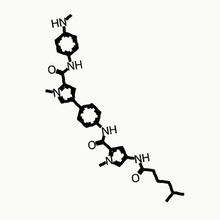 CNc1ccc(NC(=O)c2cc(-c3ccc(NC(=O)c4cc(NC(=O)CCCC(C)C)cn4C)cc3)cn2C)cc1